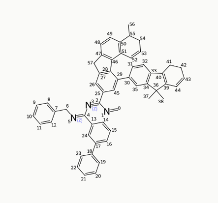 C=N/C(=N\C(=N/Cc1ccccc1)c1cccc(-c2ccccc2)c1)c1cc2c(c(-c3ccc4c(c3)C(C)(C)C3=C4CCC=C3)c1)-c1c(ccc3c1C=CCC3C)C2